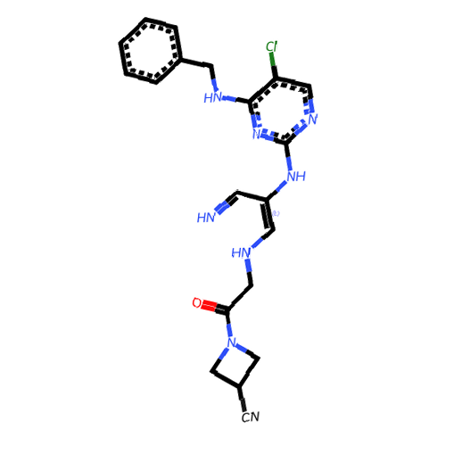 N#CC1CN(C(=O)CN/C=C(\C=N)Nc2ncc(Cl)c(NCc3ccccc3)n2)C1